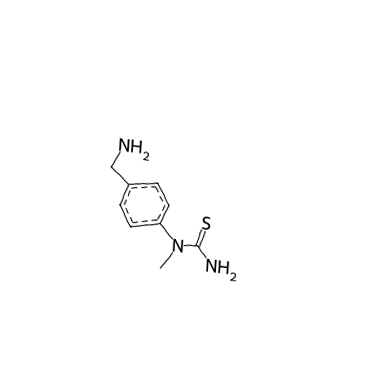 CN(C(N)=S)c1ccc(CN)cc1